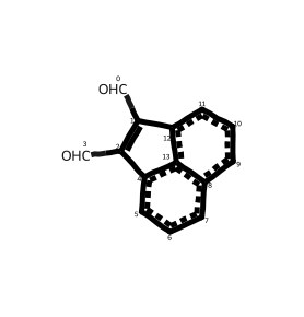 O=CC1=C(C=O)c2cccc3cccc1c23